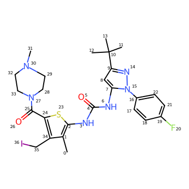 Cc1c(NC(=O)Nc2cc(C(C)(C)C)nn2-c2ccc(F)cc2)sc(C(=O)N2CCN(C)CC2)c1CI